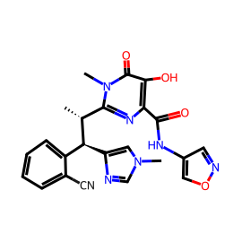 C[C@H](c1nc(C(=O)Nc2cnoc2)c(O)c(=O)n1C)[C@@H](c1cn(C)cn1)c1ccccc1C#N